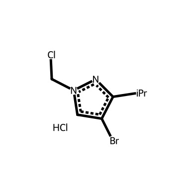 CC(C)c1nn(CCl)cc1Br.Cl